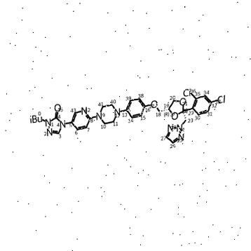 CCC(C)n1ncn(-c2ccc(N3CCN(c4ccc(OC[C@@H]5CO[C@@](Cn6nccn6)(c6ccc(Cl)cc6Cl)O5)cc4)CC3)nc2)c1=O